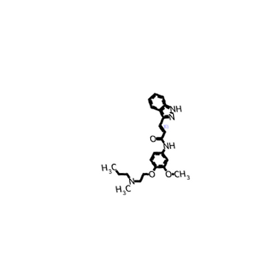 CCCN(C)CCOc1ccc(NC(=O)/C=C/c2n[nH]c3ccccc23)cc1OC